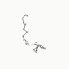 CCCCCC[C@@H]1C[C@H]1CC(=O)O